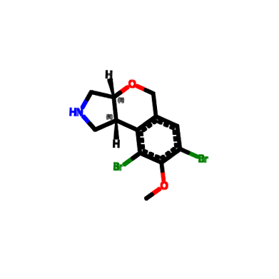 COc1c(Br)cc2c(c1Br)[C@@H]1CNC[C@@H]1OC2